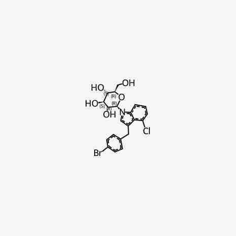 OC[C@H]1O[C@@H](n2cc(Cc3ccc(Br)cc3)c3c(Cl)cccc32)[C@H](O)[C@@H](O)[C@@H]1O